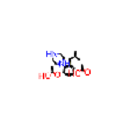 C1CNCCN1.CC(=O)O.CC(=O)O.CC(C)Cc1ccccc1